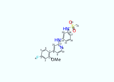 COc1cc(F)ccc1-c1ccnc(Nc2cccc(NS(C)(=O)=O)c2)c1